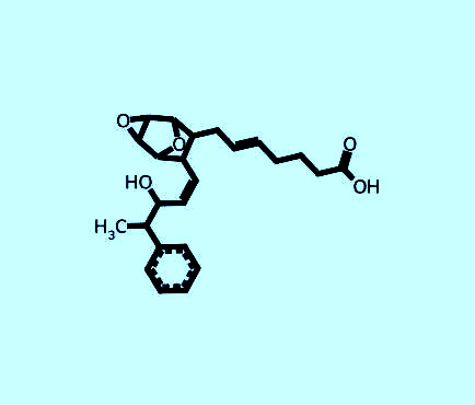 CC(c1ccccc1)C(O)/C=C\C1C(C/C=C/CCCC(=O)O)C2OC1C1OC21